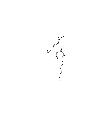 CCCCC[13c]1nc2cc(OC)cc(OC)c2o1